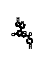 O=C([C@H]1Cc2cc(Cl)cc(-c3ccnc4[nH]ccc34)c2O1)N1CCNCC1